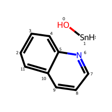 [OH][SnH].c1ccc2ncccc2c1